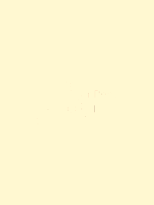 CCCCCOC(=O)CC1(C(=O)O)CC2C=CC1C2